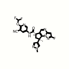 Cn1cc([C@@]2(C)C[C@H](C(=O)Nc3cnc(OC(F)F)c(C#N)c3)c3cnc4cc(F)nn4c32)cn1